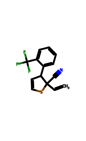 C=CC1(C#N)SC=CC1c1ccccc1C(F)(F)F